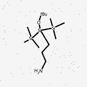 CC(C)(C)O[Si](CCCN)([Si](C)(C)C)[Si](C)(C)C